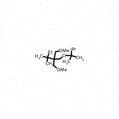 CCC(C)(C)C(COC)(COC)COC(C)(C)C(C)C